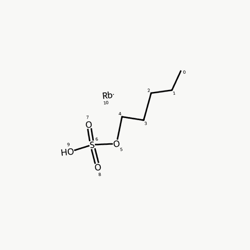 CCCCCOS(=O)(=O)O.[Rb]